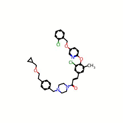 Cc1cc(C=CC(=O)N2CCN(Cc3ccc(CCOCC4CC4)cc3)CC2)cc(Cl)c1Oc1ccc(OCc2ccccc2Cl)cn1